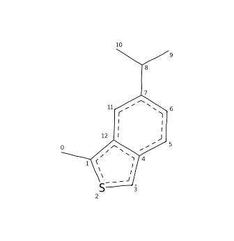 Cc1s[c]c2ccc(C(C)C)cc12